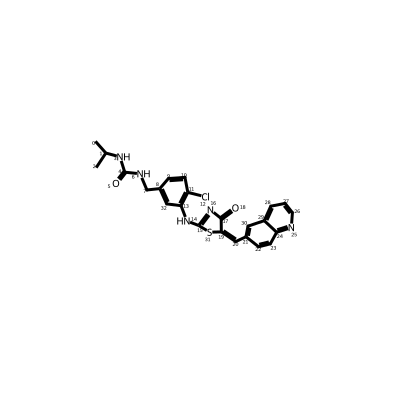 CC(C)NC(=O)NCc1ccc(Cl)c(NC2=NC(=O)C(=Cc3ccc4ncccc4c3)S2)c1